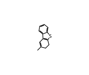 CC1=Cc2c(sc3ccccc23)CC1